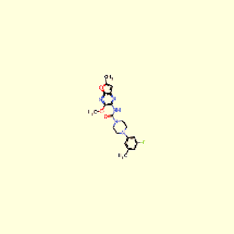 COc1nc2oc(C)cc2nc1NC(=O)N1CCN(c2cc(C)cc(F)c2)CC1